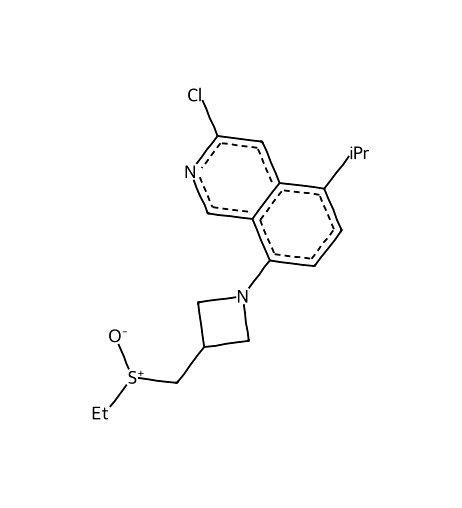 CC[S+]([O-])CC1CN(c2ccc(C(C)C)c3cc(Cl)ncc23)C1